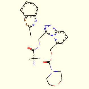 CC(C)(N)C(=O)N[C@H](Cc1nc2ccccc2s1)c1nnc2cccc(COC(=O)N3CCOCC3)n12